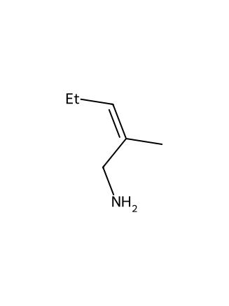 CCC=C(C)CN